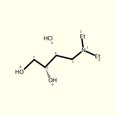 CCN(CC)CC[C@H](O)CO.Cl